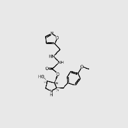 COc1ccc(C[C@H]2NC[C@H](O)[C@H]2OC(=O)NNCc2ccno2)cc1